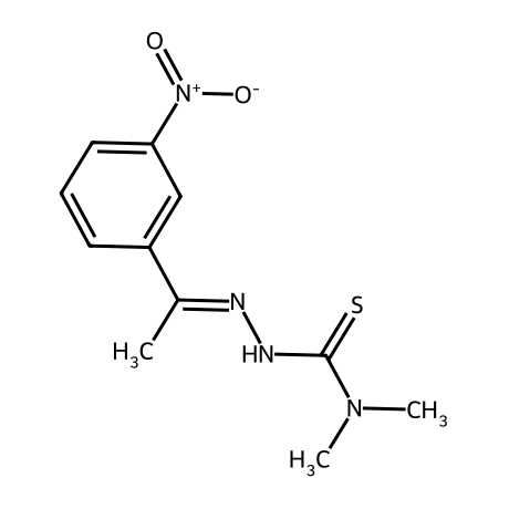 CC(=NNC(=S)N(C)C)c1cccc([N+](=O)[O-])c1